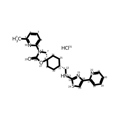 Cc1cccc(N2C[C@]3(CC[C@@H](CNc4nc(-c5ccccn5)cs4)CC3)OC2=O)n1.Cl